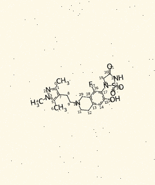 Cc1nn(C)c(C)c1CCN1CCc2cc(O)c(N3CC(=O)NS3(=O)=O)c(F)c2C1